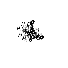 Cc1ccccc1OCC(=O)NC(CC(C)C)C(=O)N[C@@H](CC1(C(N)=O)CCN(C(=O)Oc2ccccc2)CC1)C(=O)OC(C)OC(=O)C(C)C